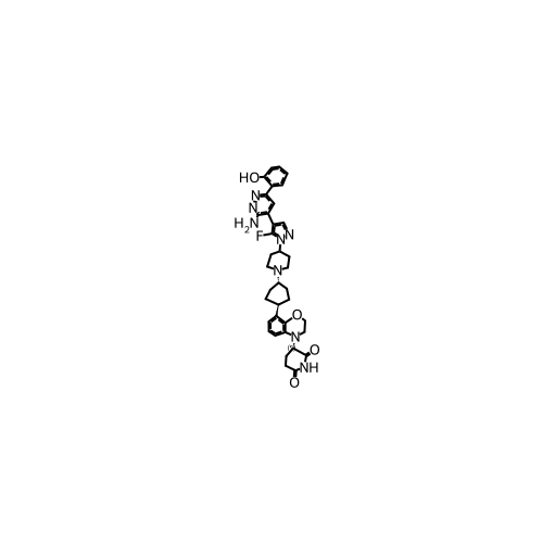 Nc1nnc(-c2ccccc2O)cc1-c1cnn(C2CCN([C@H]3CC[C@H](c4cccc5c4OCCN5[C@H]4CCC(=O)NC4=O)CC3)CC2)c1F